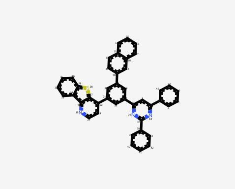 c1ccc(-c2cc(-c3cc(-c4ccc5ccccc5c4)cc(-c4ccnc5c4sc4ccccc45)c3)nc(-c3ccccc3)n2)cc1